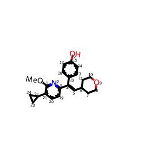 COc1nc(C(=CC2CCOCC2)c2ccc(O)cc2)ccc1C1CC1